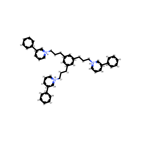 c1ccc(-c2ccc[n+](CCCc3cc(CCC[n+]4cccc(-c5ccccc5)c4)cc(CCC[n+]4cccc(-c5ccccc5)c4)c3)c2)cc1